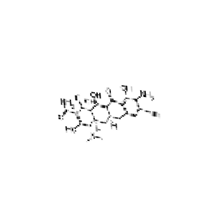 C#Cc1cc2c(c(O)c1N)C(=O)C1=C(O)[C@]3(O)C(=O)C(C(N)=O)=C(O)[C@@H](N(C)C)[C@@H]3C[C@@H]1C2